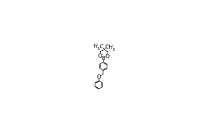 CC1(C)COB(c2ccc(COc3ccccc3)cc2)OC1